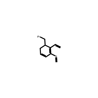 C=CC1=C(N=C)C=CCC1CC(C)C